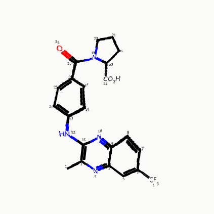 Cc1nc2cc(C(F)(F)F)ccc2nc1Nc1ccc(C(=O)N2CCCC2C(=O)O)cc1